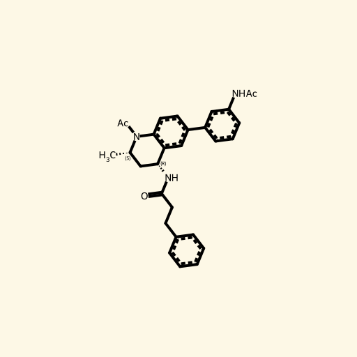 CC(=O)Nc1cccc(-c2ccc3c(c2)[C@H](NC(=O)CCc2ccccc2)C[C@H](C)N3C(C)=O)c1